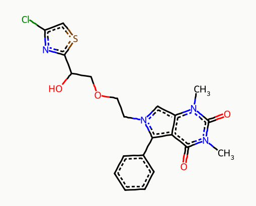 Cn1c(=O)c2c(-c3ccccc3)n(CCOCC(O)c3nc(Cl)cs3)cc2n(C)c1=O